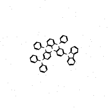 c1ccc(N(c2ccccc2)c2ccc3c(c2)N(c2ccccc2)c2cccc4c2B3c2ccc(-n3c5ccccc5c5ccccc53)cc2N4c2ccccc2)cc1